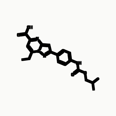 CCc1cc(C(=O)O)nc2cc(-c3ccc(NC(=O)OCC(C)C)cc3)nn12